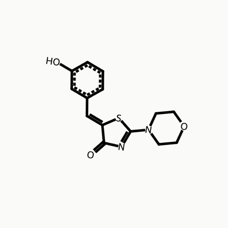 O=C1N=C(N2CCOCC2)SC1=Cc1cccc(O)c1